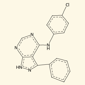 Clc1ccc(Nc2ncnc3[nH]nc(-c4ccccc4)c23)cc1